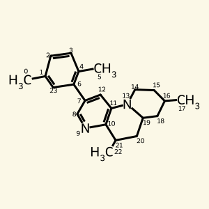 Cc1ccc(C)c(-c2cnc3c(c2)N2CCC(C)CC2CC3C)c1